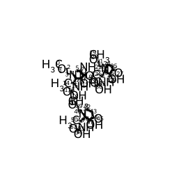 COCCn1cc(N)c(=O)c(O)c1C(C)NC(=O)O.COCCn1ccc(=O)c(O)c1C(C)NC(=O)O.COCCn1ccc(=O)c(O)c1C(C)NC(=O)O